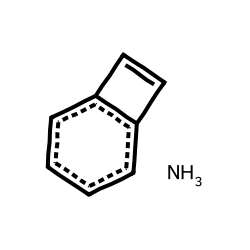 C1=Cc2ccccc21.N